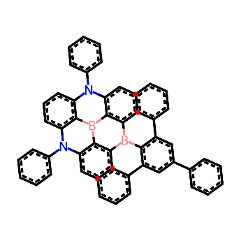 c1ccc(-c2cc(-c3ccccc3)c(B3c4cccc5c4B4c6c3cccc6N(c3ccccc3)c3cccc(c34)N5c3ccccc3)c(-c3ccccc3)c2)cc1